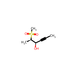 CC#C[C@@H](O)[C@@H](C)S(C)(=O)=O